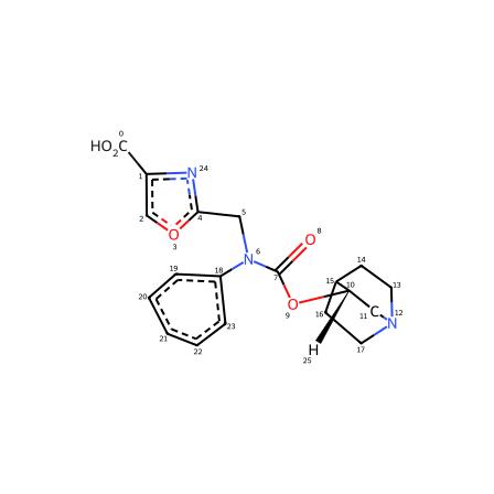 O=C(O)c1coc(CN(C(=O)O[C@H]2CN3CCC2CC3)c2ccccc2)n1